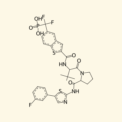 CC(C)(C)C(NC(=O)c1cc2cc(C(F)(F)P(=O)(O)O)ccc2s1)C(=O)N1CCCC1C(=O)Nc1ncc(-c2cccc(F)c2)s1